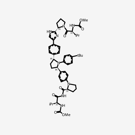 COC(=O)N[C@H](C(=O)NC(=O)[C@@H]1CCCN1c1ccc([C@H]2CC[C@H](c3ccc(-c4c[nH]c([C@@H]5CCCN5C(=O)[C@@H](NC(=O)OC)C(C)C)n4)cc3)N2c2ccc(C(C)(C)C)cc2)cc1)C(C)C